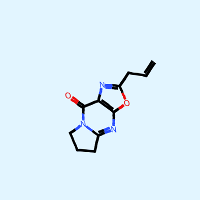 C=CCc1nc2c(=O)n3c(nc2o1)CCC3